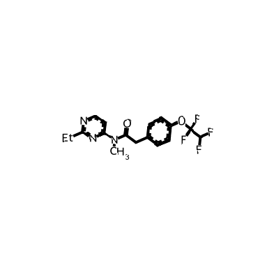 CCc1nccc(N(C)C(=O)Cc2ccc(OC(F)(F)C(F)F)cc2)n1